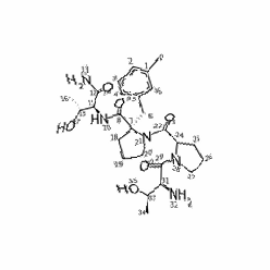 Cc1cccc(C[C@@]2(C(=O)N[C@H](C(N)=O)[C@@H](C)O)CCCN2C(=O)C2CCCN2C(=O)[C@@H](N)[C@@H](C)O)c1